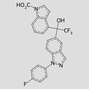 O=C(O)n1ccc2c(C(O)(c3ccc4c(cnn4-c4ccc(F)cc4)c3)C(F)(F)F)cccc21